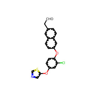 O=CCc1ccc2cc(Oc3ccc(Oc4cncs4)cc3Cl)ccc2c1